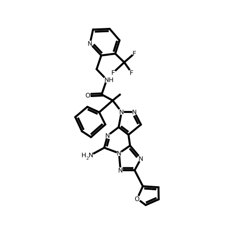 CC(C(=O)NCc1ncccc1C(F)(F)F)(c1ccccc1)n1ncc2c1nc(N)n1nc(-c3ccco3)nc21